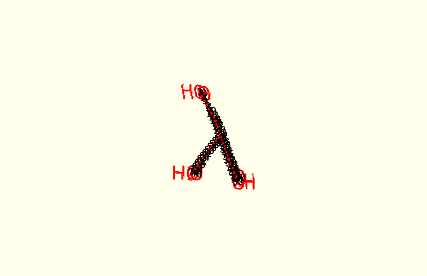 O=C(O)CCCCCCCCCCCCCCCCCCCCCCC(CCCCCCCCCCCCCCCCCCCCCCC(=O)O)CCCCCCCCCCCCCCCCCCCCCC(=O)O